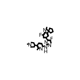 CC1=Nc2c(F)cc(-c3nc(Nc4ccc(C5CCN(C)CC5)c(C)n4)ncc3F)cc2C12CCCC2